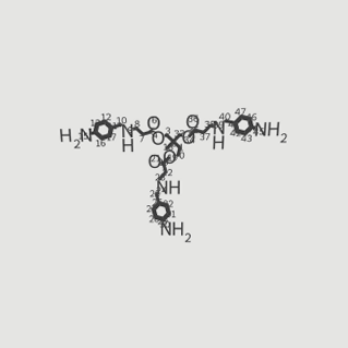 CCC(COC(=O)CCNCc1ccc(N)cc1)(COC(=O)CCNCc1ccc(N)cc1)COC(=O)CCNCc1ccc(N)cc1